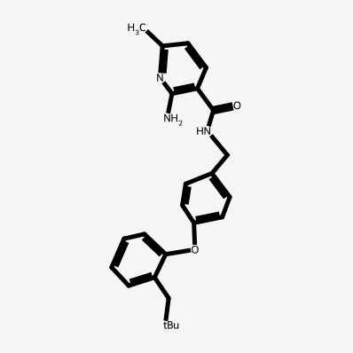 Cc1ccc(C(=O)NCc2ccc(Oc3ccccc3CC(C)(C)C)cc2)c(N)n1